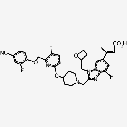 C/C(=C\C(=O)O)c1cc(F)c2nc(CN3CCC(Oc4ccc(F)c(COc5ccc(C#N)cc5F)n4)CC3)n(C[C@@H]3CCO3)c2c1